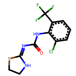 O=C(N=C1NCCS1)Nc1c(Cl)cccc1C(F)(F)F